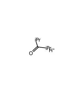 CC(C)C(=O)C(C)C.[H+]